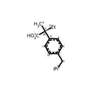 CC[C@](C)(C(=O)O)c1ccc(CC(C)C)cc1